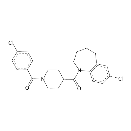 O=C(c1ccc(Cl)cc1)N1CCC(C(=O)N2CCCCc3cc(Cl)ccc32)CC1